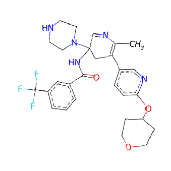 CC1=C(c2ccc(OC3CCOCC3)nc2)CC(NC(=O)c2cccc(C(F)(F)F)c2)(N2CCNCC2)C=N1